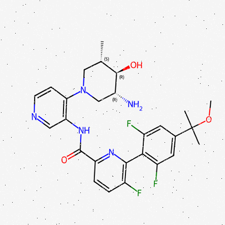 COC(C)(C)c1cc(F)c(-c2nc(C(=O)Nc3cnccc3N3C[C@@H](N)[C@H](O)[C@@H](C)C3)ccc2F)c(F)c1